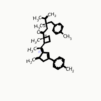 C=C1CC(c2ccc(C)cc2)=C/C1=C(/C)C1CC[C@@]1(C)C(=O)C[C@@](C)(Cc1ccc(C)cc1)C(=C)C